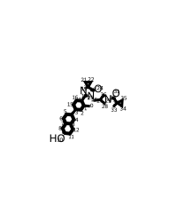 Cc1cc(-c2ccc3cc(O)ccc3c2)ccc1C1=NC2(CC2)C(=O)N1CC1CN(C(=O)C2(C)CC2)C1